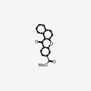 COC(=O)c1ccc2c(=O)c3c(ccc4ccccc43)oc2c1